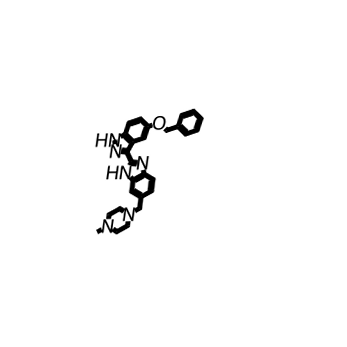 CN1CCN(Cc2ccc3nc(-c4n[nH]c5ccc(OCc6ccccc6)cc45)[nH]c3c2)CC1